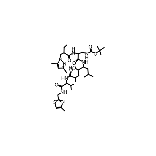 CCC(Cn1nc(C)cc1C)C(=O)NC(CNC(=O)OC(C)(C)C)C(=O)NC(CC(C)C)C(O)CC(C)C(=O)NC(C(=O)NCc1nc(C)cs1)C(C)C